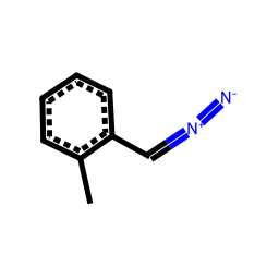 Cc1ccccc1C=[N+]=[N-]